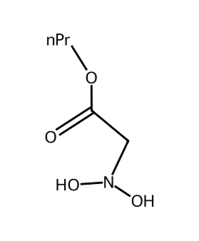 CCCOC(=O)CN(O)O